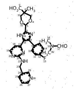 CC1(C(=O)O)COC(c2nc(-c3ccc(F)cc3)c(-c3ccnc(NCc4cccnc4)n3)[nH]2)OC1.CN(C)C=O